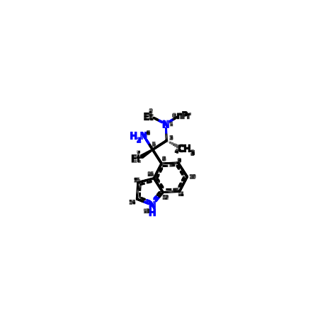 CCCN(CC)[C@H](C)[C@](N)(CC)c1cccc2[nH]ccc12